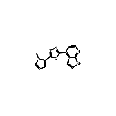 Cn1cccc1-c1nnc(-c2ccnc3[nH]ccc23)o1